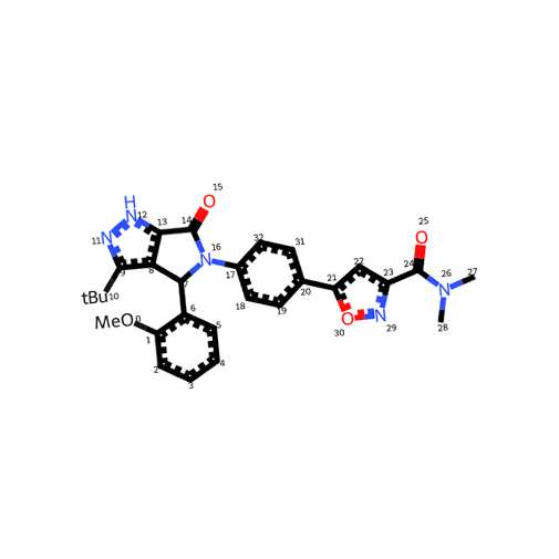 COc1ccccc1C1c2c(C(C)(C)C)n[nH]c2C(=O)N1c1ccc(-c2cc(C(=O)N(C)C)no2)cc1